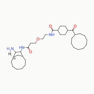 NC1C(NC(=O)CCOCCNC(=O)C2CCC(C(=O)C3CCCCCCCCC3)CC2)C2CCCCCC[C@@H]1C2